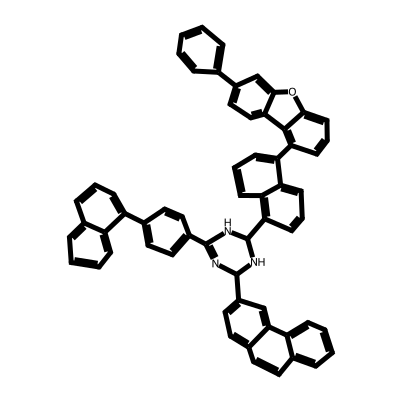 c1ccc(-c2ccc3c(c2)oc2cccc(-c4cccc5c(C6NC(c7ccc(-c8cccc9ccccc89)cc7)=NC(c7ccc8ccc9ccccc9c8c7)N6)cccc45)c23)cc1